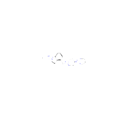 CCn1ccc2c(CN3CCC(N4CCCC4)CC3)cccc21